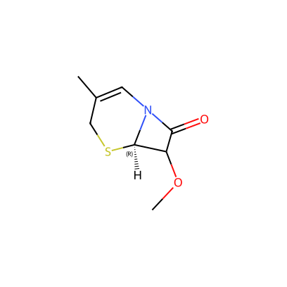 COC1C(=O)N2C=C(C)CS[C@H]12